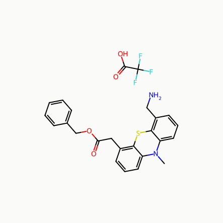 CN1c2cccc(CN)c2Sc2c(CC(=O)OCc3ccccc3)cccc21.O=C(O)C(F)(F)F